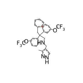 Cc1n[nH]cc1CNCC(Cc1ccccc1)(c1cccc(OC(F)(F)F)c1)c1cccc(OC(F)(F)F)c1